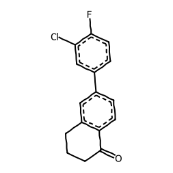 O=C1CCCc2cc(-c3ccc(F)c(Cl)c3)ccc21